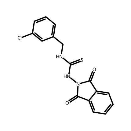 O=C1c2ccccc2C(=O)N1NC(=S)NCc1cccc(Cl)c1